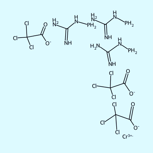 N=C(N)NP.N=C(N)NP.N=C(N)NP.O=C([O-])C(Cl)(Cl)Cl.O=C([O-])C(Cl)(Cl)Cl.O=C([O-])C(Cl)(Cl)Cl.[Cr+3]